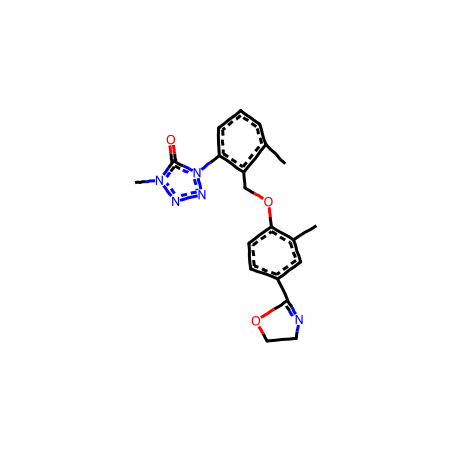 Cc1cc(C2=NCCO2)ccc1OCc1c(C)cccc1-n1nnn(C)c1=O